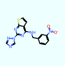 O=[N+]([O-])c1cccc(CNc2nc(-n3cncn3)nc3sccc23)c1